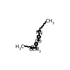 CCCCCCCCc1cnc(-c2ccc(C(=O)Oc3ccc(C(=O)C(C)OC(=O)CCCCCC)cc3)cc2)nc1